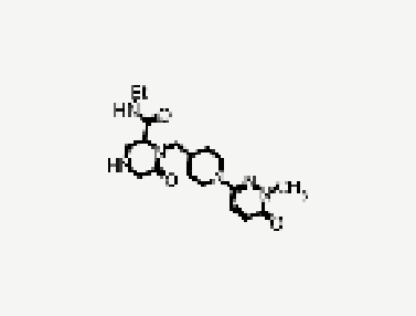 CCNC(=O)C1CNCC(=O)N1CC1CCN(c2ccc(=O)n(C)n2)CC1